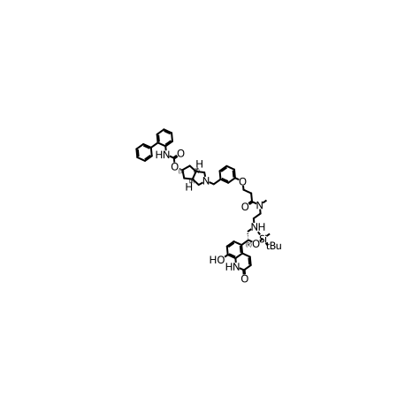 CN(CCNC[C@H](O[Si](C)(C)C(C)(C)C)c1ccc(O)c2[nH]c(=O)ccc12)C(=O)CCOc1cccc(CN2C[C@H]3C[C@H](OC(=O)Nc4ccccc4-c4ccccc4)C[C@H]3C2)c1